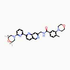 Cc1ccc(C(=O)NCc2cc3nc(-c4cccc(N5C[C@@H](C)O[C@@H](C)C5)n4)ccc3cn2)cc1N1CCOCC1